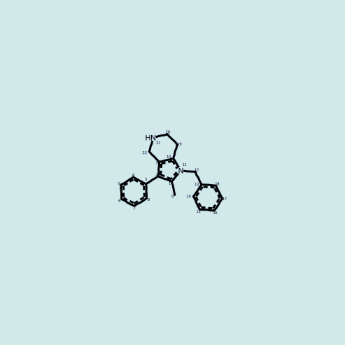 Cc1c(-c2ccccc2)c2c(n1Cc1ccccc1)CCNC2